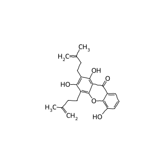 C=C(C)CCc1c(O)c(CCC(=C)C)c2oc3c(O)cccc3c(=O)c2c1O